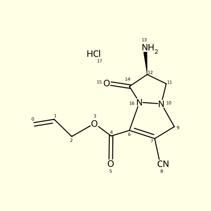 C=CCOC(=O)C1=C(C#N)CN2C[C@H](N)C(=O)N12.Cl